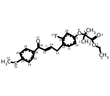 CCOC(=O)C(C)(C)Oc1ccc(C/C=C/C(=O)c2ccc(SC)cc2)c(F)c1